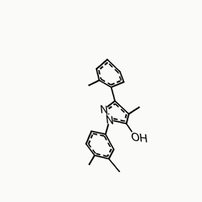 Cc1ccc(-n2nc(-c3ccccc3C)c(C)c2O)cc1C